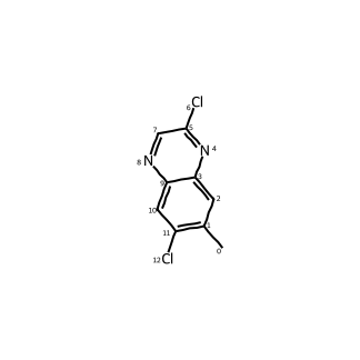 Cc1cc2nc(Cl)cnc2cc1Cl